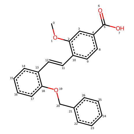 COc1cc(C(=O)O)ccc1/C=C/c1ccccc1OCc1ccccc1